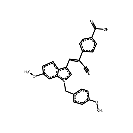 COc1ccc2c(/C=C(\C#N)c3ccc(C(=O)O)cc3)cn(Cc3ccc(OC)nc3)c2c1